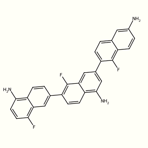 Nc1ccc2c(F)c(-c3cc(N)c4ccc(-c5ccc6c(N)ccc(F)c6c5)c(F)c4c3)ccc2c1